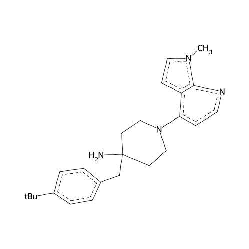 Cn1ccc2c(N3CCC(N)(Cc4ccc(C(C)(C)C)cc4)CC3)ccnc21